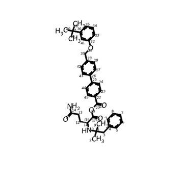 CC(C)(Cc1ccccc1)N[C@@H](CCC(N)=O)C(=O)OC(=O)c1ccc(-c2ccc(COc3cccc(C(C)(C)C)c3)cc2)cc1